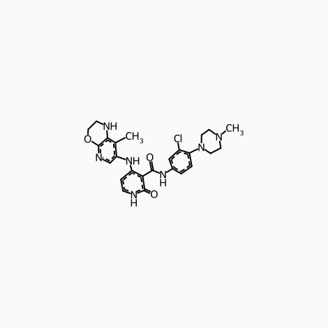 Cc1c(Nc2cc[nH]c(=O)c2C(=O)Nc2ccc(N3CCN(C)CC3)c(Cl)c2)cnc2c1NCCO2